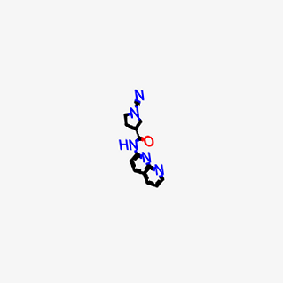 N#CN1CC[C@H](C(=O)Nc2ccc3cccnc3n2)C1